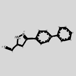 S=CC1CC(c2ccc(-c3ccccc3)cc2)=NN1